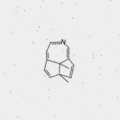 CC12C=CC3=CC=NC=C(C=C1)C32C